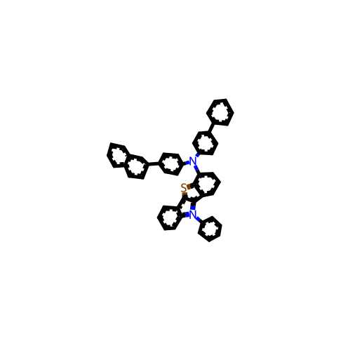 c1ccc(-c2ccc(N(c3ccc(-c4ccc5ccccc5c4)cc3)c3cccc4c3sc3c5ccccc5n(-c5ccccc5)c43)cc2)cc1